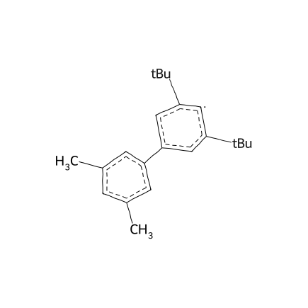 Cc1cc(C)cc(-c2cc(C(C)(C)C)[c]c(C(C)(C)C)c2)c1